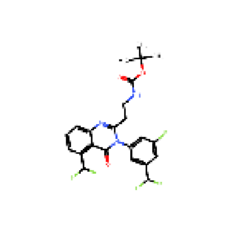 CC(C)(C)OC(=O)NCCc1nc2cccc(C(F)F)c2c(=O)n1-c1cc(F)cc(C(F)F)c1